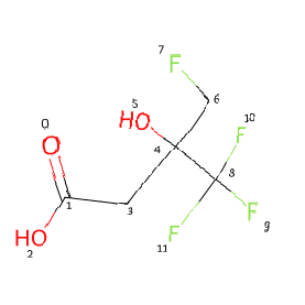 O=C(O)CC(O)(CF)C(F)(F)F